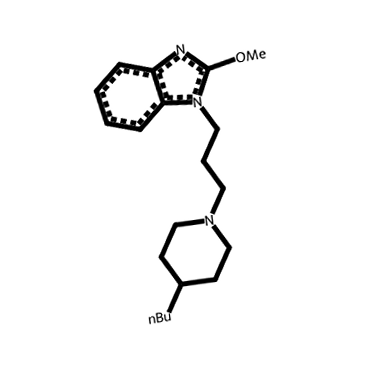 CCCCC1CCN(CCCn2c(OC)nc3ccccc32)CC1